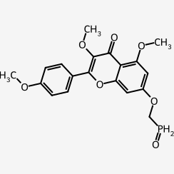 COc1ccc(-c2oc3cc(OC[PH2]=O)cc(OC)c3c(=O)c2OC)cc1